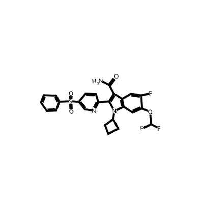 NC(=O)c1c(-c2ccc(S(=O)(=O)c3ccccc3)cn2)n(C2CCC2)c2cc(OC(F)F)c(F)cc12